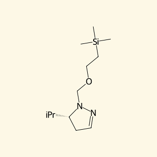 CC(C)[C@H]1CC=NN1COCC[Si](C)(C)C